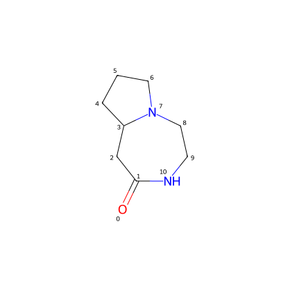 O=C1CC2CCCN2CCN1